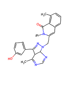 CC1=NC=NC2C1C(c1cccc(O)c1)=NN2Cc1cc2cccc(C)c2c(=O)n1C(C)C